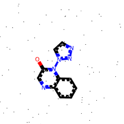 O=c1cnc2ccccc2n1-n1ccnn1